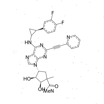 CNC(=O)C1(C)C[C@@H](n2cnc3c(NC4C[C@H]4c4ccc(F)c(F)c4)nc(C#Cc4ccccn4)nc32)[C@H](O)[C@@H]1O